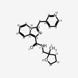 CC1(CNC(=O)c2nc(Cc3cccnc3)n3ccccc23)CCCO1